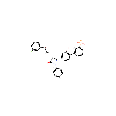 O=C1[C@H](CCC(O)c2cccc(F)c2)[C@@H](c2ccc(-c3cccc(P(=O)(O)O)c3)c(O)c2)N1c1ccccc1